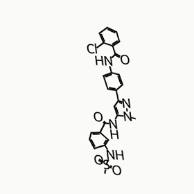 Cn1nc(-c2ccc(NC(=O)c3ccccc3Cl)cc2)cc1NC(=O)c1cccc(NS(C)(=O)=O)c1